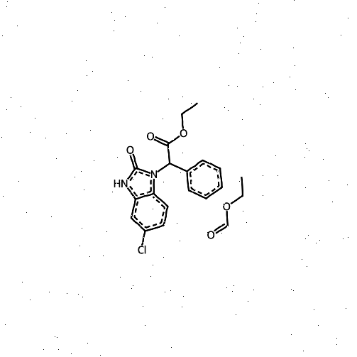 CCOC(=O)C(c1ccccc1)n1c(=O)[nH]c2cc(Cl)ccc21.CCOC=O